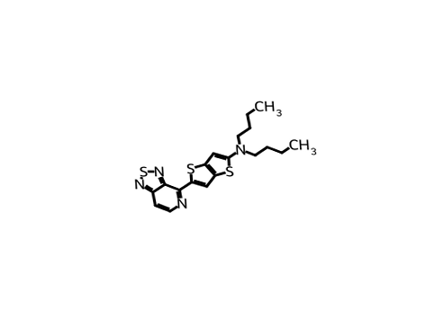 CCCCN(CCCC)c1cc2sc(-c3nccc4nsnc34)cc2s1